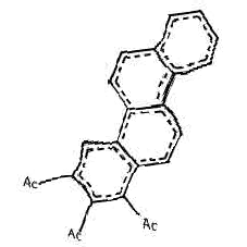 CC(=O)c1cc2c(ccc3c4ccccc4ccc23)c(C(C)=O)c1C(C)=O